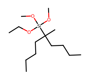 CCCCC(C)(CCCC)[Si](OC)(OC)OCC